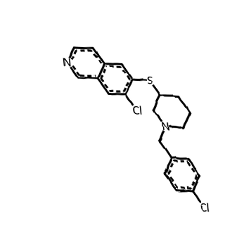 Clc1ccc(CN2CCCC(Sc3cc4ccncc4cc3Cl)C2)cc1